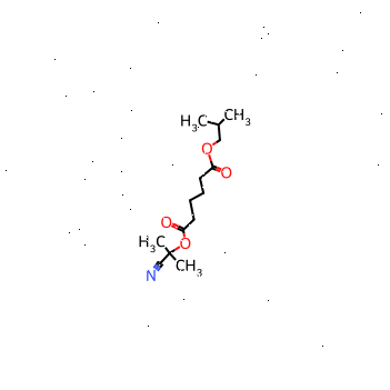 CC(C)COC(=O)CCCCC(=O)OC(C)(C)C#N